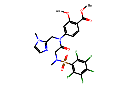 CCCCOC(=O)c1ccc(N(Cc2nccn2C)C(=O)CN(C)S(=O)(=O)c2c(F)c(F)c(F)c(F)c2F)cc1OCCCC